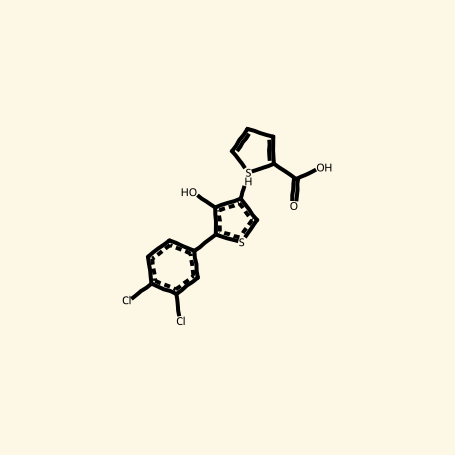 O=C(O)C1=CC=C[SH]1c1csc(-c2ccc(Cl)c(Cl)c2)c1O